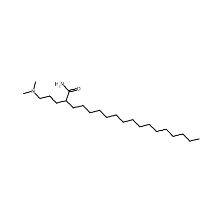 CCCCCCCCCCCCCCCCC(CCCN(C)C)C(N)=O